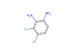 Nc1ccc(Cl)c(F)c1N